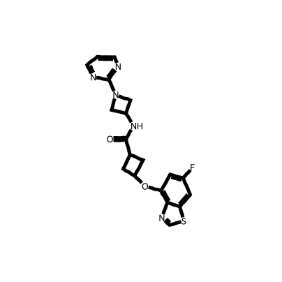 O=C(NC1CN(c2ncccn2)C1)C1CC(Oc2cc(F)cc3scnc23)C1